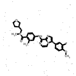 COc1ccc(-c2cnc3c(Nc4ccc(C(=O)N(C)CC5CCOC5)c(C)c4)nccn23)cc1F